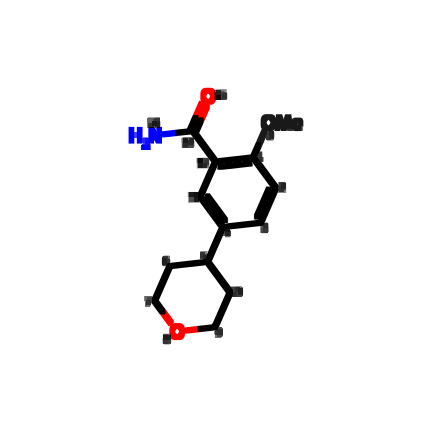 COc1ccc(C2CCOCC2)cc1C(N)=O